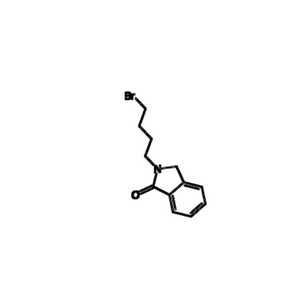 O=C1c2ccccc2CN1CCCCBr